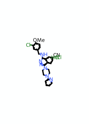 COc1ccc(CNc2nnc(N3CCN(c4ccccn4)CC3)c3ccc(C#N)cc23)cc1Cl.Cl.Cl